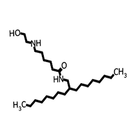 CCCCCCCCC(CCCCCCCC)CNC(=O)CCCCCNCCO